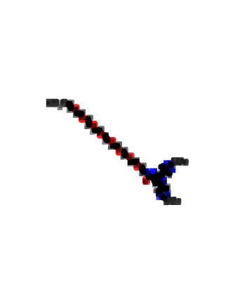 CSc1ncc(-c2cc(C(=O)NCCOCCOCCOCCOCCOCCOCCOCCOCCC(=O)O)cc(-c3cnc(SC)nc3)n2)cn1